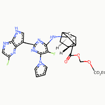 CCOC(=O)OCOC(=O)[C@H]1C2CCC(CC2)[C@@H]1Nc1nc(-c2c[nH]c3ncc(F)nc23)nc(-n2cccc2)c1F